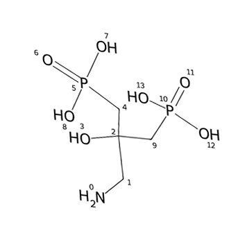 NCC(O)(CP(=O)(O)O)CP(=O)(O)O